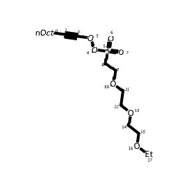 CCCCCCCCC#COOS(=O)(=O)CCOCCOCCOCC